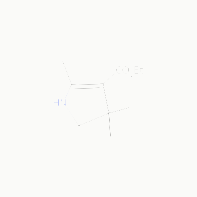 CCOC(=O)C1=C(C)NCC1(C)C